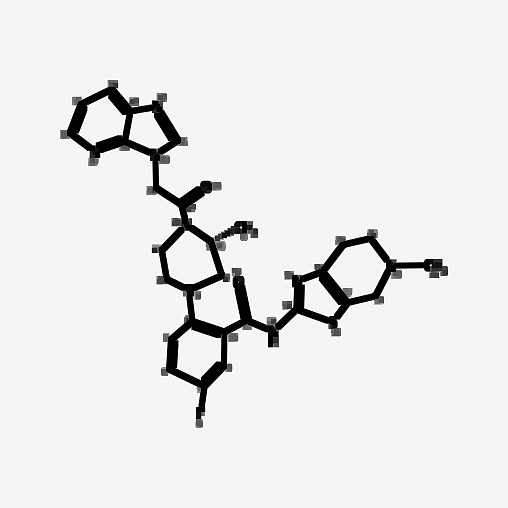 C[C@@H]1CN(c2ccc(F)cc2C(=O)Nc2nc3c(s2)CN(C)CC3)CCN1C(=O)Cn1cnc2cccnc21